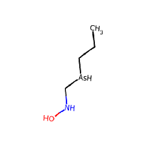 CCC[AsH]CNO